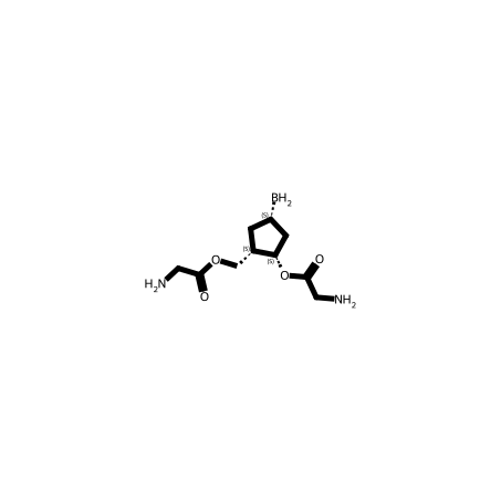 B[C@H]1C[C@@H](COC(=O)CN)[C@@H](OC(=O)CN)C1